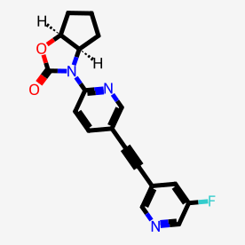 O=C1O[C@H]2CCC[C@H]2N1c1ccc(C#Cc2cncc(F)c2)cn1